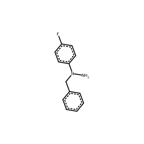 NN(Cc1c[c]ccc1)c1ccc(F)cc1